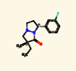 CC[C@]1(C)CN2CC[C@H](c3cccc(F)c3)N2C1=O